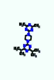 Cc1nc(C)nc(N2CCN(c3nc(C(C)C)nc(C(C)C)n3)CC2)n1